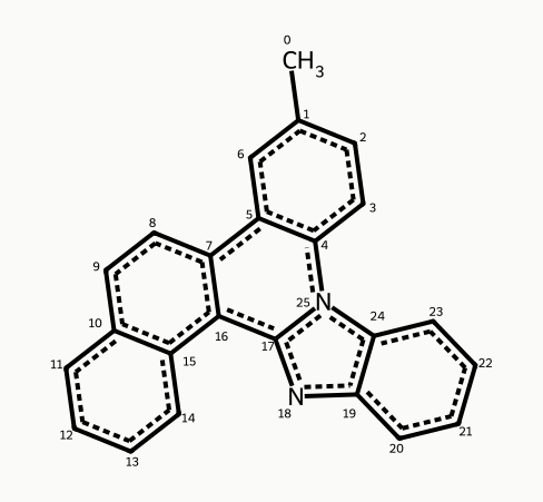 Cc1ccc2c(c1)c1ccc3ccccc3c1c1nc3ccccc3n21